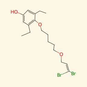 CCc1cc(O)cc(CC)c1OCCCCCOCC=C(Br)Br